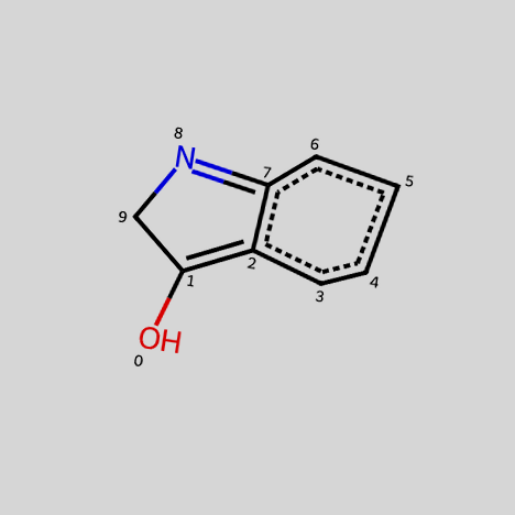 OC1=c2ccccc2=NC1